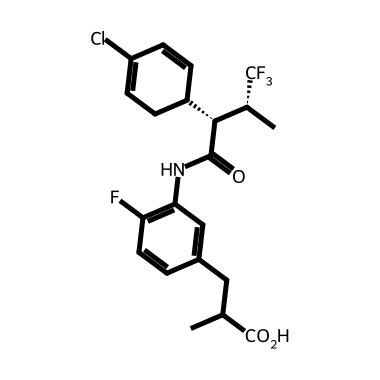 CC(Cc1ccc(F)c(NC(=O)[C@H](C2C=CC(Cl)=CC2)[C@@H](C)C(F)(F)F)c1)C(=O)O